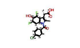 Cc1c([C@H](C)C(=O)O)c2c(F)c(O)c(F)cc2n1C(=O)c1ccc(Cl)cc1